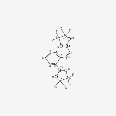 CC1(C)OB(/C=C\c2ccccc2B2OC(C)(C)C(C)(C)O2)OC1(C)C